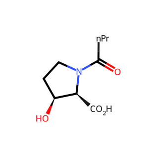 CCCC(=O)N1CC[C@H](O)[C@@H]1C(=O)O